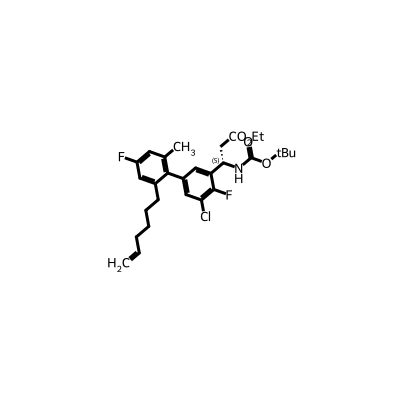 C=CCCCCc1cc(F)cc(C)c1-c1cc(Cl)c(F)c([C@H](CC(=O)OCC)NC(=O)OC(C)(C)C)c1